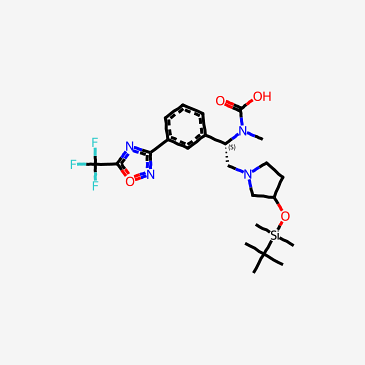 CN(C(=O)O)[C@H](CN1CCC(O[Si](C)(C)C(C)(C)C)C1)c1cccc(-c2noc(C(F)(F)F)n2)c1